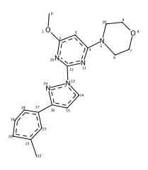 COc1cc(N2CCOCC2)nc(-n2ccc(-c3cccc(C)c3)n2)n1